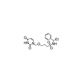 CCC(NS(=O)(=O)CCCOCn1ccc(=O)[nH]c1=O)c1ccccc1